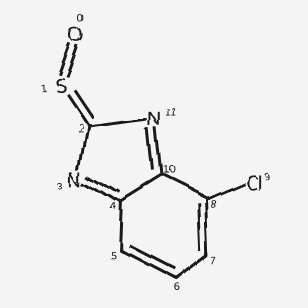 O=S=C1N=c2cccc(Cl)c2=N1